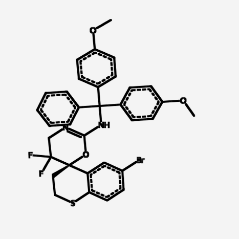 COc1ccc(C(NC2=NCC(F)(F)[C@]3(CCSc4ccc(Br)cc43)O2)(c2ccccc2)c2ccc(OC)cc2)cc1